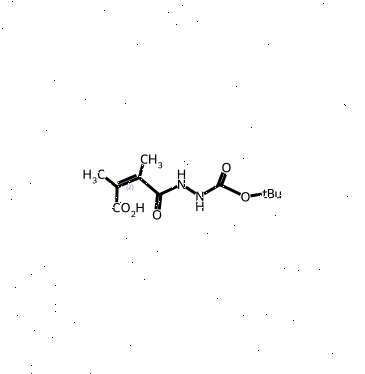 C/C(C(=O)O)=C(\C)C(=O)NNC(=O)OC(C)(C)C